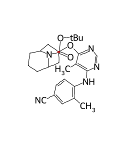 Cc1cc(C#N)ccc1Nc1ncnc(OC2CC3CCCC(C2)N3C(=O)OC(C)(C)C)c1C